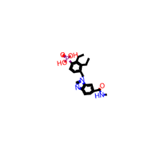 CCc1c(Cn2cnc3ccc(C(=O)NC)cc32)ccc(P(=O)(O)O)c1CC